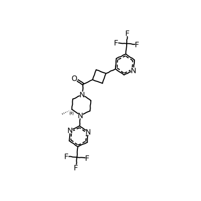 C[C@@H]1CN(C(=O)C2CC(c3cncc(C(F)(F)F)c3)C2)CCN1c1ncc(C(F)(F)F)cn1